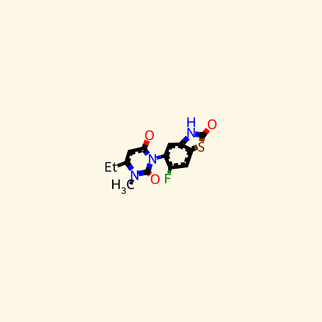 CCc1cc(=O)n(-c2cc3[nH]c(=O)sc3cc2F)c(=O)n1C